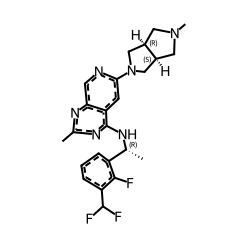 Cc1nc(N[C@H](C)c2cccc(C(F)F)c2F)c2cc(N3C[C@H]4CN(C)C[C@H]4C3)ncc2n1